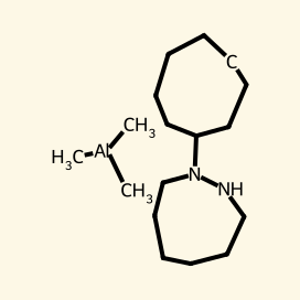 C1CCCC(N2CCCCCCN2)CCC1.[CH3][Al]([CH3])[CH3]